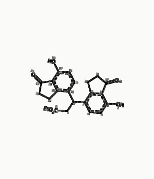 CCOC(=O)CC(c1ccc(O)c2c1CCC2=O)c1ccc(O)c2c1CCC2=O